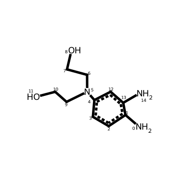 Nc1ccc(N(CCO)CCO)cc1N